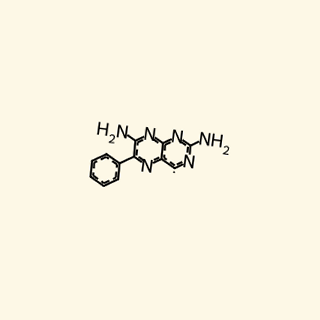 Nc1n[c]c2nc(-c3ccccc3)c(N)nc2n1